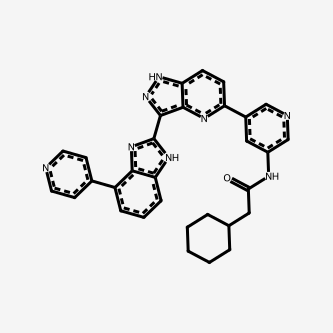 O=C(CC1CCCCC1)Nc1cncc(-c2ccc3[nH]nc(-c4nc5c(-c6ccncc6)cccc5[nH]4)c3n2)c1